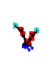 COc1cc(C(=O)Oc2ccc(C=CC(=O)CC(c3ccc(N)cc3N)C(O)(O)C(=O)C=Cc3ccc(OC(=O)c4ccc(OCCCC(F)(F)C(F)(F)F)c(OC)c4)cc3)cc2)ccc1OCCCC(F)(F)C(F)(F)F